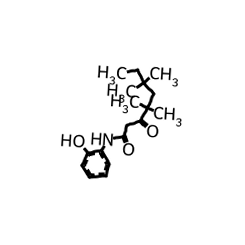 CCC(C)(C)CC(C)(C)C(=O)CC(=O)Nc1ccccc1O